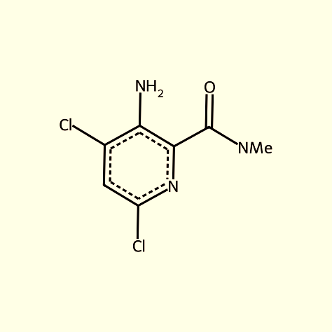 CNC(=O)c1nc(Cl)cc(Cl)c1N